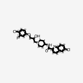 O=C(NC1CCN(CC(O)COc2ccc(Cl)c(F)c2)CC1)c1ccc2cc(Cl)ccc2n1